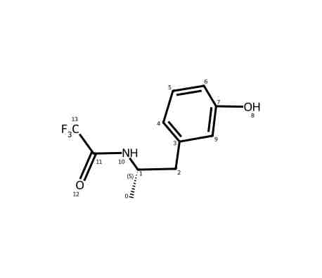 C[C@@H](Cc1cccc(O)c1)NC(=O)C(F)(F)F